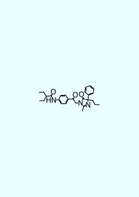 CCCC1(c2ccccc2)N=C(C)N(CC(=O)c2ccc(NC(=O)C(CC)CC)cc2)C1=O